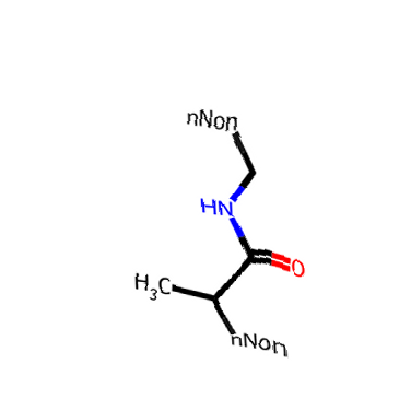 CCCCCCCCCCNC(=O)C(C)CCCCCCCCC